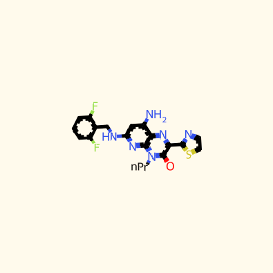 CCCn1c(=O)c(-c2nccs2)nc2c(N)cc(NCc3c(F)cccc3F)nc21